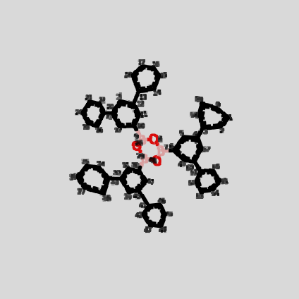 c1ccc(-c2cc(B3OB(c4cc(-c5ccccc5)cc(-c5ccccc5)c4)OB(c4cc(-c5ccccc5)cc(-c5ccccc5)c4)O3)cc(-c3ccccc3)c2)cc1